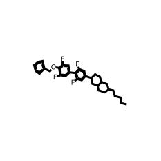 CCCCCC1CCC2CC(c3cc(F)c(-c4cc(F)c(OCc5ccccc5)c(F)c4)c(F)c3)CCC2C1